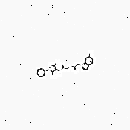 Cc1nn(-c2ccccc2)c(C)c1NC(=O)COC(=O)Cn1ccc2ccc(Cl)cc21